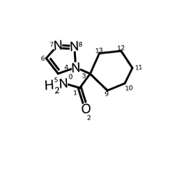 NC(=O)C1(n2ccnn2)CCCCC1